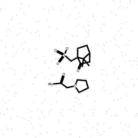 CC(C)(C)C(=O)C[S+]1CCCC1.CC1(C)C2CCC1(CS(=O)(=O)[O-])C(=O)C2